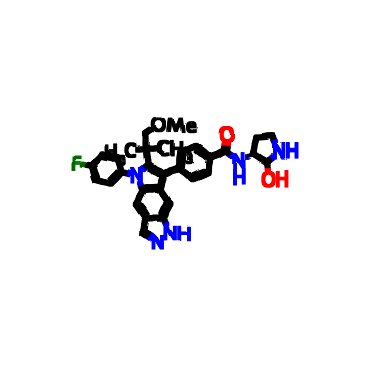 COCC(C)(C)c1c(-c2ccc(C(=O)N[C@@H]3CCNC3O)cc2)c2cc3[nH]ncc3cc2n1-c1ccc(F)cc1